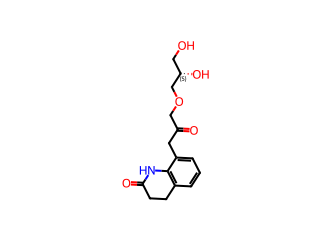 O=C(COC[C@@H](O)CO)Cc1cccc2c1NC(=O)CC2